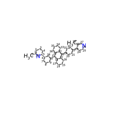 Cc1cccc(-c2cccc(-c3c4ccccc4c(-c4ccc(-c5ccncc5C)cc4)c4ccccc34)c2)n1